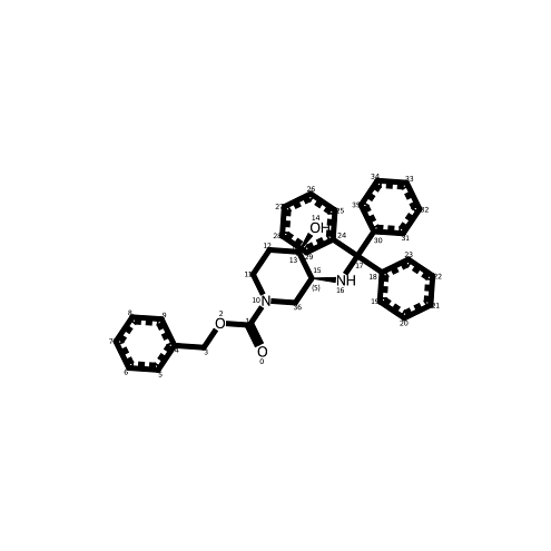 O=C(OCc1ccccc1)N1CC[C@@H](O)[C@@H](NC(c2ccccc2)(c2ccccc2)c2ccccc2)C1